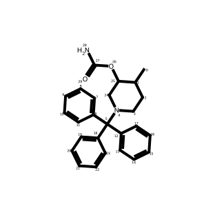 CC1CCN(C(c2ccccc2)(c2ccccc2)c2ccccc2)CC1OC(N)=O